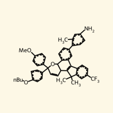 CCCCOc1ccc(C2(c3ccc(OC)cc3)C=CC3C4=C(c5cc(-c6ccc(N)cc6C)ccc5C3O2)c2ccc(C(F)(F)F)cc2C4(C)C)cc1